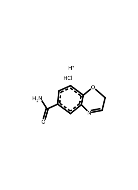 Cl.NC(=O)c1ccc2c(c1)N=CCO2.[H+]